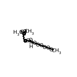 CCOCCOCCOCCOCCOCCOCCNC(=O)COc1cccc(CCCc2ccc(OC)c(OC)c2)c1